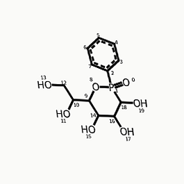 O=P1(c2ccccc2)OC(C(O)CO)C(O)C(O)C1O